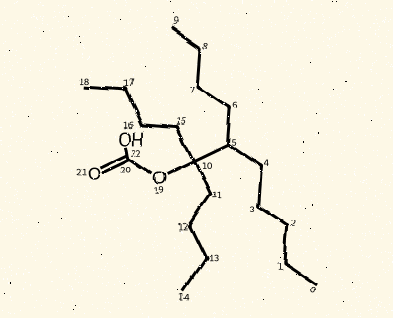 CCCCCC(CCCC)C(CCCC)(CCCC)OC(=O)O